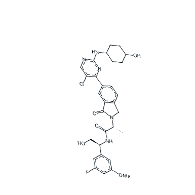 COc1cc(F)cc([C@@H](CO)NC(=O)[C@@H](C)N2Cc3ccc(-c4nc(NC5CCC(O)CC5)ncc4Cl)cc3C2=O)c1